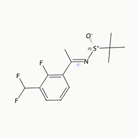 C/C(=N\[S@+]([O-])C(C)(C)C)c1cccc(C(F)F)c1F